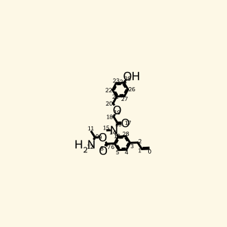 C=CCc1ccc(C(=O)OC(C)N)c(N(C)C(=O)COCc2ccc(O)cc2)c1